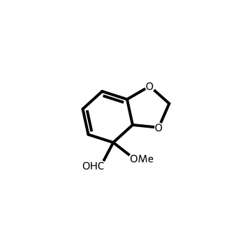 COC1(C=O)C=CC=C2OCOC21